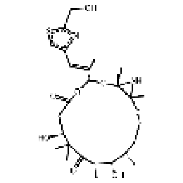 C/C(=C\c1csc(CO)n1)[C@@H]1C[C@@H]2N[C@]2(C)CCC[C@H](C)[C@H](O)[C@@H](C)C(=O)C(C)(C)[C@@H](O)CC(=O)O1